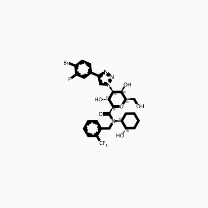 O=C([C@@H]1O[C@H](CO)[C@H](O)[C@H](n2cc(-c3ccc(Br)c(F)c3)nn2)[C@H]1O)N(Cc1ccccc1C(F)(F)F)[C@H]1CCCC[C@@H]1O